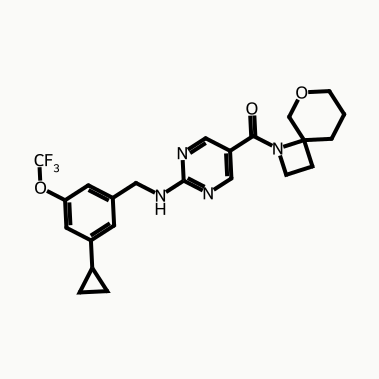 O=C(c1cnc(NCc2cc(OC(F)(F)F)cc(C3CC3)c2)nc1)N1CCC12CCCOC2